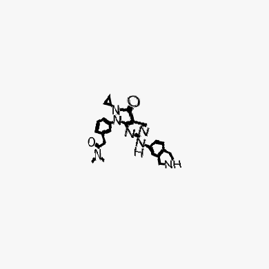 CN(C)C(=O)Cc1cccc(-n2c3nc(Nc4ccc5c(c4)CNCC5)ncc3c(=O)n2C2CC2)c1